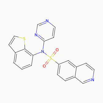 O=S(=O)(c1ccc2cnccc2c1)N(c1ccncn1)c1cccc2ccsc12